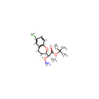 CC(C)(C)OC(=O)[C@@](C)(ON)[C@H]1CCc2cc(Br)ccc2O1